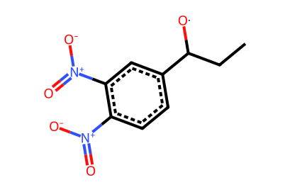 CCC([O])c1ccc([N+](=O)[O-])c([N+](=O)[O-])c1